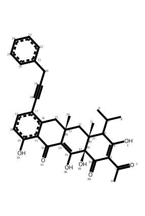 CC(=O)C1=C(O)C(C(C)C)[C@@]2(C)C[C@@]3(C)Cc4c(C#CCc5ccccc5)ccc(O)c4C(=O)C3=C(O)[C@@]2(O)C1=O